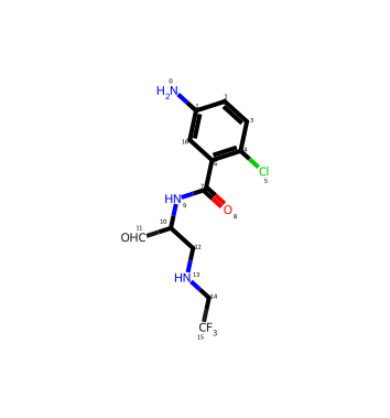 Nc1ccc(Cl)c(C(=O)NC(C=O)CNCC(F)(F)F)c1